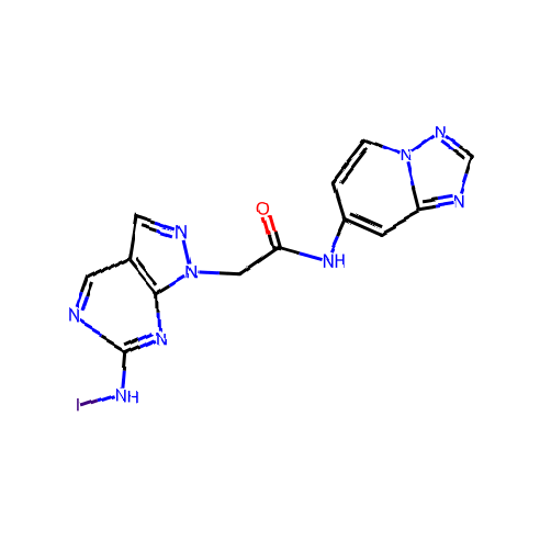 O=C(Cn1ncc2cnc(NI)nc21)Nc1ccn2ncnc2c1